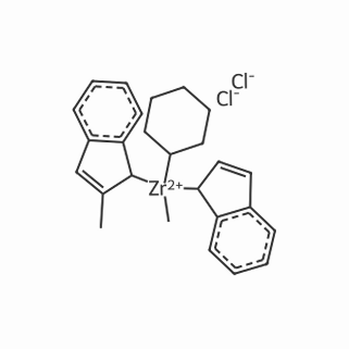 CC1=Cc2ccccc2[CH]1[Zr+2]([CH3])([CH]1CCCCC1)[CH]1C=Cc2ccccc21.[Cl-].[Cl-]